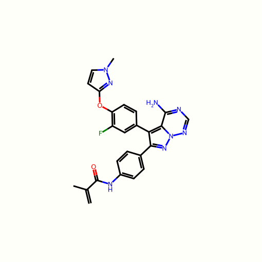 C=C(C)C(=O)Nc1ccc(-c2nn3ncnc(N)c3c2-c2ccc(Oc3ccn(C)n3)c(F)c2)cc1